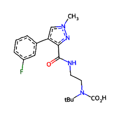 Cn1cc(-c2cccc(F)c2)c(C(=O)NCCN(C(=O)O)C(C)(C)C)n1